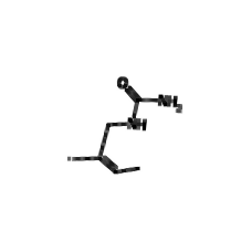 [CH2]C(=CC)CNC(N)=O